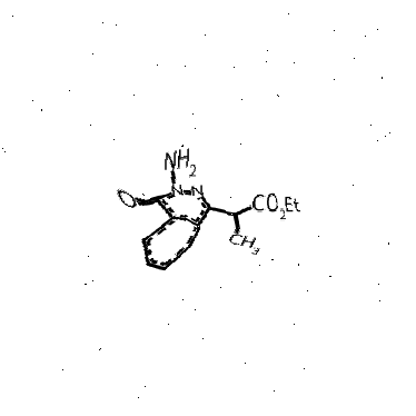 CCOC(=O)C(C)c1nn(N)c(=O)c2ccccc12